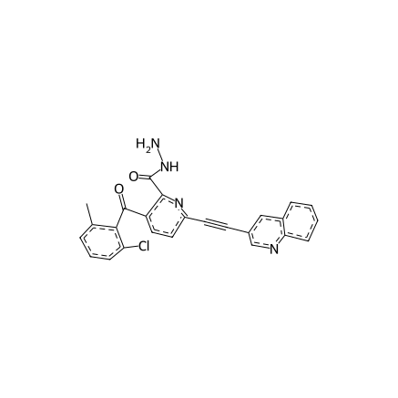 Cc1cccc(Cl)c1C(=O)c1ccc(C#Cc2cnc3ccccc3c2)nc1C(=O)NN